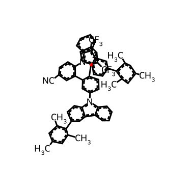 Cc1cc(C)c(-c2ccc3c(c2)c2ccccc2n3-c2ccc(-c3ccc(C(F)(F)F)cc3C(F)(F)F)c(-c3cc(C#N)ccc3-n3c4ccccc4c4cc(-c5c(C)cc(C)cc5C)ccc43)c2)c(C)c1